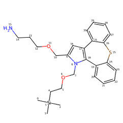 C[Si](C)(C)CCOCn1c(COCCCN)cc2c1-c1ccccc1Sc1ccccc1-2